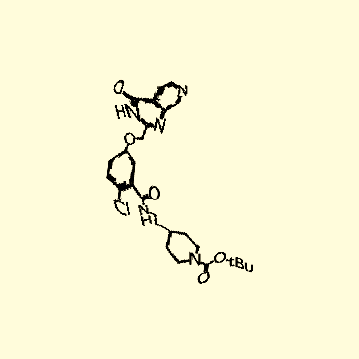 CC(C)(C)OC(=O)N1CCC(CCNC(=O)c2cc(OCc3nc4cnccc4c(=O)[nH]3)ccc2Cl)CC1